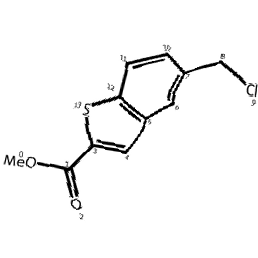 COC(=O)c1cc2cc(CCl)ccc2s1